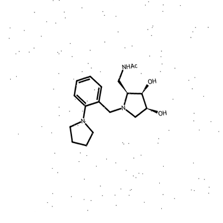 CC(=O)NC[C@H]1[C@@H](O)[C@@H](O)CN1Cc1ccccc1N1CCCC1